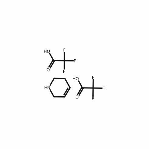 C1=CCNCC1.O=C(O)C(F)(F)F.O=C(O)C(F)(F)F